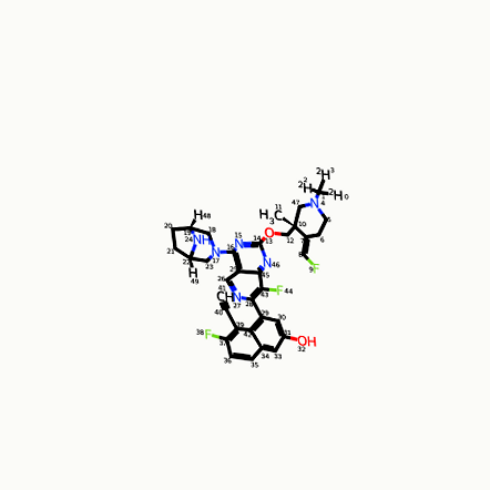 [2H]C([2H])([2H])N1CC/C(=C\F)[C@](C)(COc2nc(N3C[C@H]4CC[C@@H](C3)N4)c3cnc(-c4cc(O)cc5ccc(F)c(C#C)c45)c(F)c3n2)C1